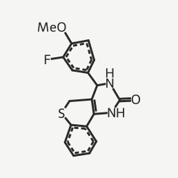 COc1ccc(C2NC(=O)NC3=C2CSc2ccccc23)cc1F